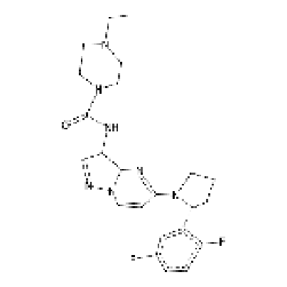 CCN1CCN(C(=O)NC2C=NN3C=CC(N4CCC[C@@H]4c4cc(F)ccc4F)=NC23)CC1